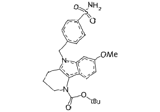 COc1ccc2c3c(n(Cc4ccc(S(N)(=O)=O)cc4)c2c1)CCCN3C(=O)OC(C)(C)C